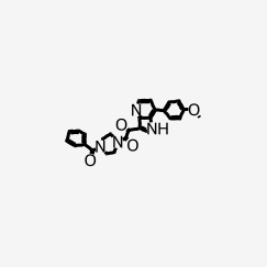 COc1ccc(-c2ccnc3c(C(=O)C(=O)N4CCN(C(=O)c5ccccc5)CC4)c[nH]c23)cc1